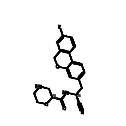 N#C[C@H](Cc1ccc2c(c1)OCc1cc(F)ccc1-2)NC(=O)[C@@H]1CNCCO1